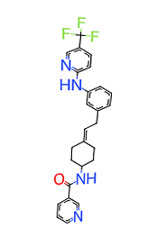 O=C(NC1CCC(=CCc2cccc(Nc3ccc(C(F)(F)F)cn3)c2)CC1)c1cccnc1